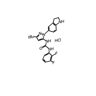 CC(C)(C)c1cc(NC(=O)Nc2cccc(F)c2F)n(-c2ccc3c(c2)CCN3)n1.Cl